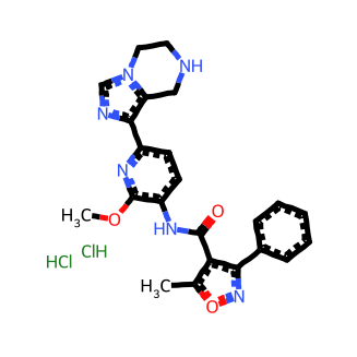 COc1nc(-c2ncn3c2CNCC3)ccc1NC(=O)c1c(-c2ccccc2)noc1C.Cl.Cl